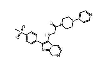 CS(=O)(=O)c1ccc(-c2nc3cnccn3c2NCC(=O)N2CCN(c3ccncc3)CC2)cc1